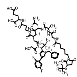 CCC(C)(CC)SC1CC(=O)N(CCCCCC(=O)NCC(=O)N[C@H](C)C(=O)N[C@@H](CC(N)=O)C(=O)N[C@@H](CCN(C(=O)CO)[C@@H](c2cc(-c3cc(F)ccc3F)cn2Cc2ccccc2)C(C)(C)C)C(=O)NCCC(=O)N[C@H](CCC(=O)O)C(=O)O)C1=O